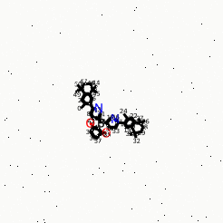 Cc1cc2c(cc1-c1cc3c(cn1)B1c4cnc(-c5cc6c(cc5C)C(C)(C)CCC6(C)C)cc4Oc4cccc(c41)O3)C(C)(C)CCC2(C)C